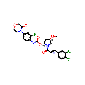 CO[C@@H]1C[C@@H](OC(=O)Nc2ccc(N3CCOCC3=O)cc2F)N(C(=O)/C=C/c2ccc(Cl)c(Cl)c2)C1